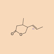 C/C=C/C1COC(=O)CC1C